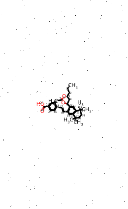 CCCCCC(OC(C)=O)c1cc2c(cc1C=Cc1ccc(C(=O)O)cc1)C(C)(C)CCC2(C)C